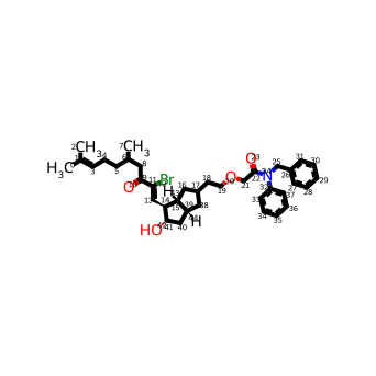 CC(C)=CCCC(C)CC(=O)C(Br)=C[C@H]1[C@@H]2CC(CCOCC(=O)N(Cc3ccccc3)c3ccccc3)C[C@H]2C[C@@H]1O